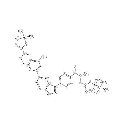 Cc1cc(-c2cnc3[nH]cc(-c4ccc(C(=O)N(C)C[C@H](C)O[Si](C)(C)C(C)(C)C)cc4)c3n2)cc2c1CN(C(=O)OC(C)(C)C)CC2